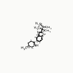 C[C@H]1CC[C@H](c2ccc3sc(C(C)(C)N(C)C)nc3c2)NC1